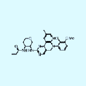 C=CC(=O)NC1CCOCC1Nc1ncc2c(n1)-c1cc(C)cnc1N(c1cccc(OC)c1Cl)C2